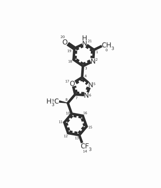 Cc1nc(-c2nnc([C@H](C)c3ccc(C(F)(F)F)cc3)o2)cc(=O)[nH]1